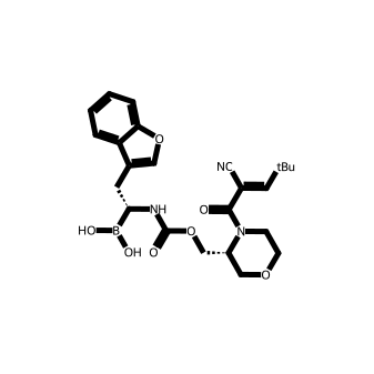 CC(C)(C)C=C(C#N)C(=O)N1CCOC[C@@H]1COC(=O)N[C@@H](Cc1coc2ccccc12)B(O)O